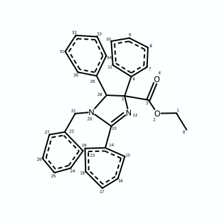 CCOC(=O)C1(c2ccccc2)N=C(c2ccccc2)N(Cc2ccccc2)C1c1ccccc1